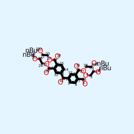 CCCCOCCOC(=O)c1ccc(C(=O)c2ccc(C(=O)OCCOCCCC)c(C(=O)OCCOCCCC)c2)cc1C(=O)OCCOCCCC